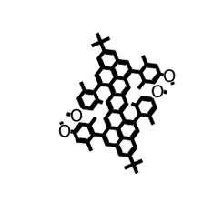 COC1=CC(C)C(c2cc3cc(C(C)(C)C)cc4cc(-c5c(C)cc(OC)cc5C)c5c6cc7cc8c(-c9c(C)cc(OC)cc9C)cc9cc(C(C)(C)C)cc%10cc(C%11C(C)=CC(OC)=CC%11C)c(c7cc6cc2c5c34)c8c9%10)C(C)=C1